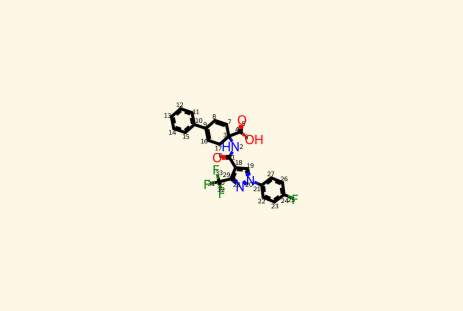 O=C(NC1(C(=O)O)C=CC(c2ccccc2)=CC1)c1cn(-c2ccc(F)cc2)nc1C(F)(F)F